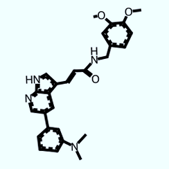 COc1ccc(CNC(=O)/C=C/c2c[nH]c3ncc(-c4cccc(N(C)C)c4)cc23)cc1OC